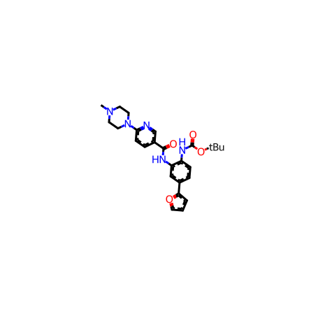 CN1CCN(c2ccc(C(=O)Nc3cc(-c4ccco4)ccc3NC(=O)OC(C)(C)C)cn2)CC1